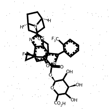 O=C(O[C@@H]1OC(C(=O)O)C(O)[C@H](O)C1O)c1cc(F)c2nc(N3[C@@H]4CC[C@H]3C[C@@H](OCc3c(-c5ccccc5C(F)(F)F)noc3C3CC3)C4)sc2c1